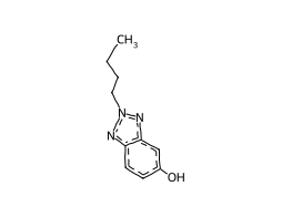 CCCCn1nc2ccc(O)cc2n1